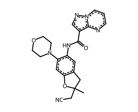 CC1(CC#N)Cc2cc(NC(=O)c3cnn4cccnc34)c(N3CCOCC3)cc2O1